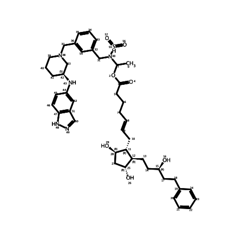 CC(OC(=O)CCCC=CC[C@@H]1[C@@H](CC[C@@H](O)CCc2ccccc2)[C@H](O)C[C@H]1O)N(Cc1cccc(CN2CCC[C@H](Nc3ccc4[nH]ncc4c3)C2)c1)[SH](=O)=O